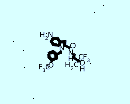 CC(O)(CCNC(=O)c1cc2cc(N)ccc2n1Cc1cccc(OC(F)(F)F)c1)C(F)(F)F